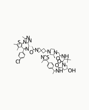 Cc1ncsc1-c1ccc(C(C)NC(=O)[C@@H]2C[C@@H](O)CN2C(=O)[C@@H](NC(=O)CN2CCN(C3CC4(C3)CN(C(=O)C[C@@H]3N=C(c5ccc(Cl)cc5)c5c(sc(C)c5C)-n5c(C)nnc53)C4)C[C@@H]2C)C(C)(C)C)cc1